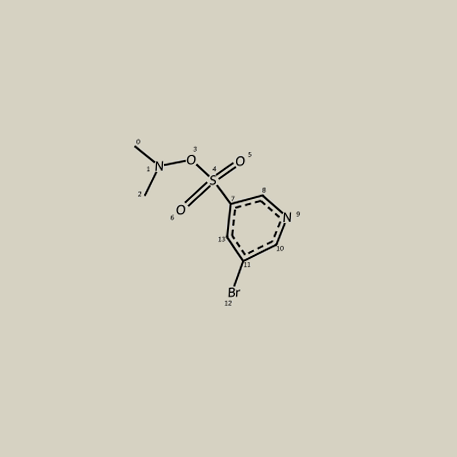 CN(C)OS(=O)(=O)c1cncc(Br)c1